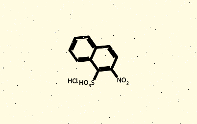 Cl.O=[N+]([O-])c1ccc2ccccc2c1S(=O)(=O)O